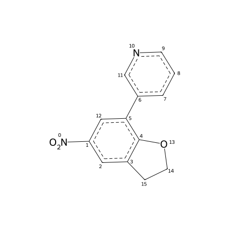 O=[N+]([O-])c1cc2c(c(-c3cccnc3)c1)OCC2